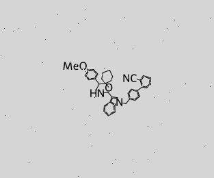 COc1ccc(C2CNC(c3cn(Cc4ccc(-c5ccccc5C#N)cc4)c4ccccc34)OC23CCCCC3)cc1